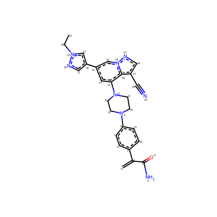 C=C(C(N)=O)c1ccc(N2CCN(c3cc(-c4cnn(CC)c4)cn4ncc(C#N)c34)CC2)cc1